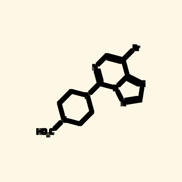 O=C(O)N1CCN(c2ncc(Br)c3ncnn23)CC1